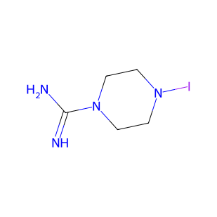 N=C(N)N1CCN(I)CC1